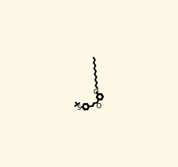 CCCCCCCCCCCCOc1cccc(C(=O)C=Cc2ccc(SC(C)(C)C)cc2)c1